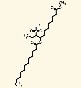 CCCCCCCCCCCC(=O)OC(CCCCCCCC(=O)OC)C(CC)S(=O)(=O)O